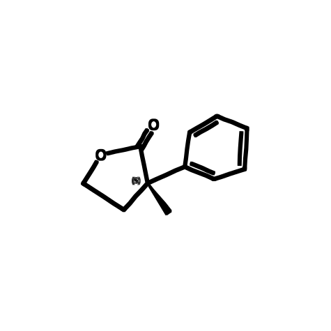 C[C@@]1(c2ccccc2)CCOC1=O